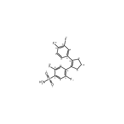 NS(=O)(=O)c1cc(F)c(C2=C(c3ccc(F)c(F)c3)CCC2)cc1F